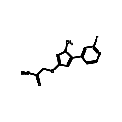 COC(=O)COc1cc(-c2ccnc(F)c2)n(C)n1